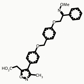 CON=C(COc1ccc(COc2ccc(-c3c(C)noc3CC(=O)O)cc2)cc1)c1ccccc1